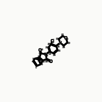 O=C1C2C3C=CC(CC3)C2C(=O)N1c1ccc(N2CCOCC2)c(Cl)c1